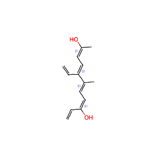 C=C\C(O)=C/C=C(C)/C(C=C)=C/C=C(\C)O